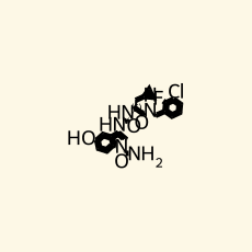 NC(=O)n1cc(NC(=O)N[C@@H](CC2CC2)C(=O)NCc2cccc(Cl)c2F)c2cc(O)ccc21